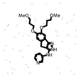 COCCCOc1cc2c(cc1OCCCOC)-c1n[nH]c(Nc3cccnc3)c1C2